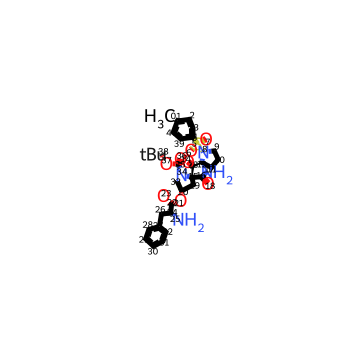 Cc1ccc(S(=O)(=O)N2CCC[C@H]2C(=O)[C@@]2(C(N)=O)CC(OC(=O)[C@@H](N)Cc3ccccc3)CN2C(=O)OC(C)(C)C)cc1